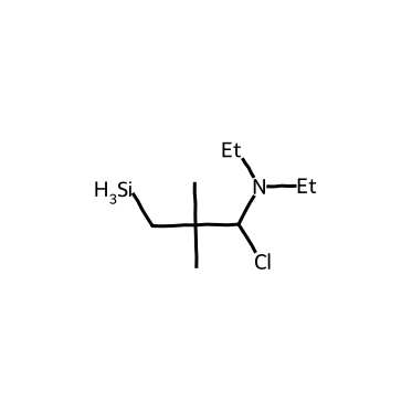 CCN(CC)C(Cl)C(C)(C)C[SiH3]